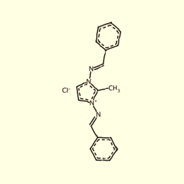 Cc1n(/N=C/c2ccccc2)cc[n+]1/N=C/c1ccccc1.[Cl-]